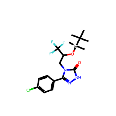 CC(C)(C)[Si](C)(C)OC(Cn1c(-c2ccc(Cl)cc2)n[nH]c1=O)C(F)(F)F